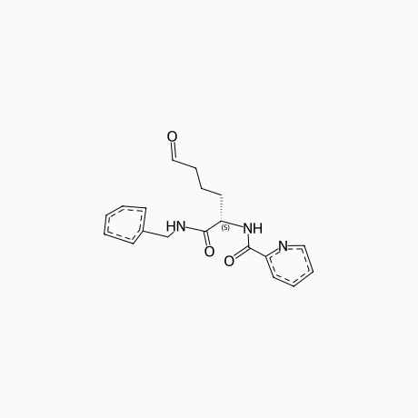 O=CCCC[C@H](NC(=O)c1ccccn1)C(=O)NCc1ccccc1